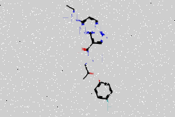 CCNc1ccn2ncc(C(=O)NCC(C)Oc3ccc(F)cc3)c2n1